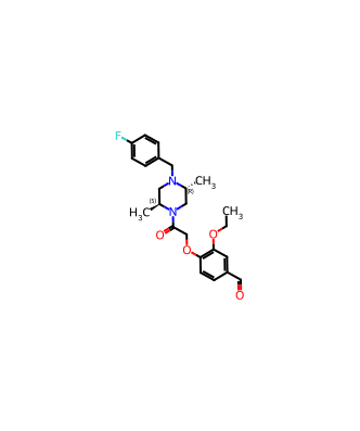 CCOc1cc(C=O)ccc1OCC(=O)N1C[C@@H](C)N(Cc2ccc(F)cc2)C[C@@H]1C